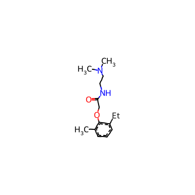 CCc1cccc(C)c1OCC(=O)NCCN(C)C